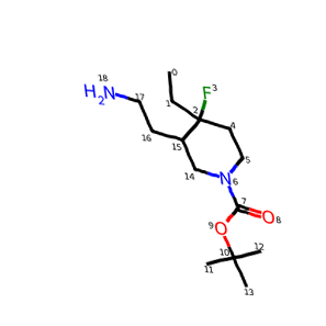 CCC1(F)CCN(C(=O)OC(C)(C)C)CC1CCN